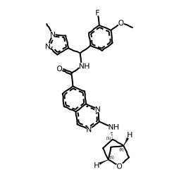 COc1ccc(C(NC(=O)c2ccc3cnc(N[C@H]4C[C@@H]5C[C@H]4CO5)nc3c2)c2cnn(C)c2)cc1F